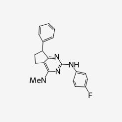 CNc1nc(Nc2ccc(F)cc2)nc2c1CCC2c1ccccc1